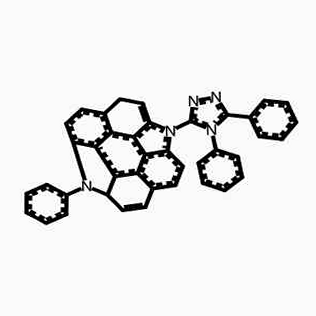 C1=CC2c3c4c(ccc5c4c4c(n(-c6nnc(-c7ccccc7)n6-c6ccccc6)c6ccc1c3c46)=CC5)N2c1ccccc1